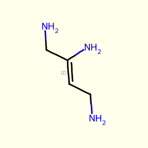 NC/C=C(\N)CN